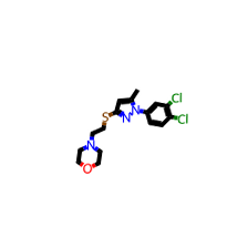 Cc1cc(SCCN2CCOCC2)nn1-c1ccc(Cl)c(Cl)c1